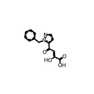 O=C(O)C(O)=CC(=O)c1ccnn1Cc1ccccc1